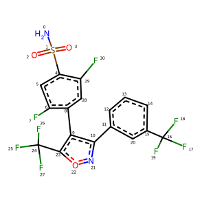 NS(=O)(=O)c1cc(F)c(-c2c(-c3cccc(C(F)(F)F)c3)noc2C(F)(F)F)cc1F